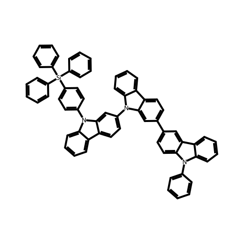 c1ccc(-n2c3ccccc3c3cc(-c4ccc5c6ccccc6n(-c6ccc7c8ccccc8n(-c8ccc([Si](c9ccccc9)(c9ccccc9)c9ccccc9)cc8)c7c6)c5c4)ccc32)cc1